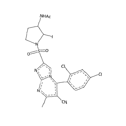 CC(=O)NC1CCN(S(=O)(=O)c2cn3c(-c4ccc(Cl)cc4Cl)c(C#N)c(C)nc3n2)C1I